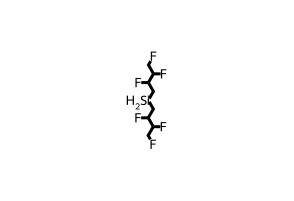 FCC(F)C(F)C[SiH2]CC(F)C(F)CF